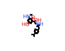 CC(C)c1ccc(CC(C)(C)NCC(O)c2cc(O)cc3c2OC=CN3)cc1